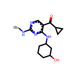 CC(C)(C)Nc1ncc(C(=O)C2CC2)c(NC2CCCC(O)C2)n1